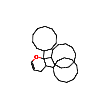 C1=COC(C2CCCCCCCCC2)(C2CCCCCCCCC2)C(C2CCCCCCCCC2)C1